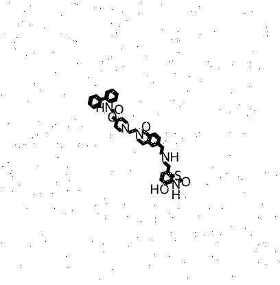 O=C(Nc1ccccc1-c1ccccc1)OC1CCN(CCN2CCc3cc(CCNCCc4ccc(O)c5[nH]c(=O)sc45)ccc3C2=O)CC1